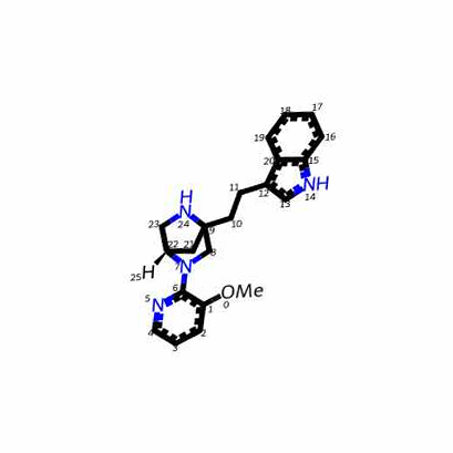 COc1cccnc1N1CC2(CCc3c[nH]c4ccccc34)C[C@H]1CN2